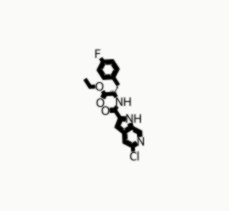 CCOC(=O)[C@H](Cc1ccc(F)cc1)NC(=O)c1cc2cc(Cl)ncc2[nH]1